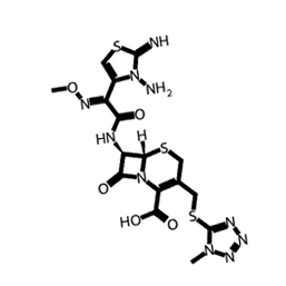 CON=C(C(=O)N[C@@H]1C(=O)N2C(C(=O)O)=C(CSc3nnnn3C)CS[C@@H]12)c1csc(=N)n1N